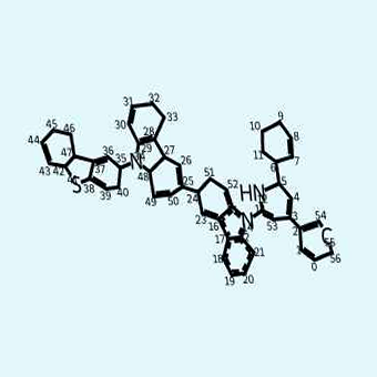 C1=CC(C2=CC(C3C=CCCC3)NC(n3c4c(c5ccccc53)=CC(C3=CC5C6=C(C=CCC6)N(C6C=C7C(=CC6)SC6C=CCCC76)C5C=C3)CC=4)=C2)=CCC1